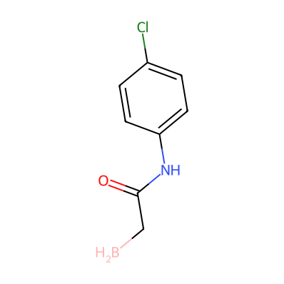 BCC(=O)Nc1ccc(Cl)cc1